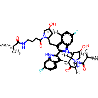 [2H]c1cc(F)cc2c1c(CC1C[C@H](O)CN1C(=O)CCCNC(=O)[C@H](C)NC)c(-c1[nH]c3cc(F)ccc3c1[C@H](C(=O)C(CC)NC(=O)C(C)NC)C1([2H])CC(O)CN1[2H])n2[2H]